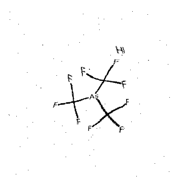 FC(F)(F)[As](C(F)(F)F)C(F)(F)F.I